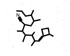 CCCC(C)C(C)CC(C#N)C(C)C(C)C(C)C(C)C=C1CCC1C